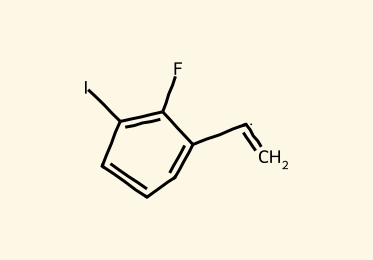 C=[C]c1cccc(I)c1F